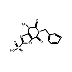 Cn1c(=O)n(Cc2ccccc2)c(=O)c2[nH]c(S(=O)(=O)O)nc21